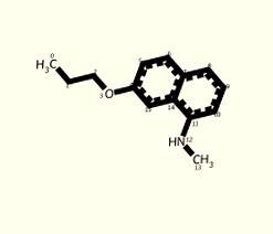 CCCOc1ccc2cccc(NC)c2c1